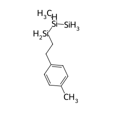 Cc1ccc(CC[SiH2][SiH](C)[SiH3])cc1